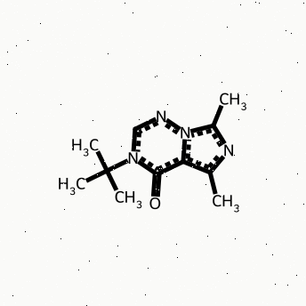 Cc1nc(C)n2ncn(C(C)(C)C)c(=O)c12